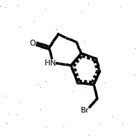 O=C1CCc2ccc(CBr)cc2N1